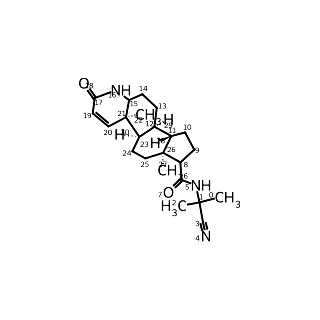 CC(C)(C#N)NC(=O)C1CC[C@H]2[C@@H]3CCC4NC(=O)C=C[C@]4(C)[C@@H]3CC[C@]12C